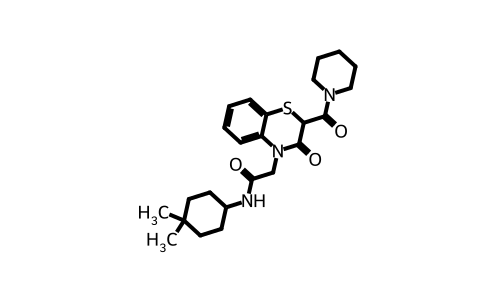 CC1(C)CCC(NC(=O)CN2C(=O)C(C(=O)N3CCCCC3)Sc3ccccc32)CC1